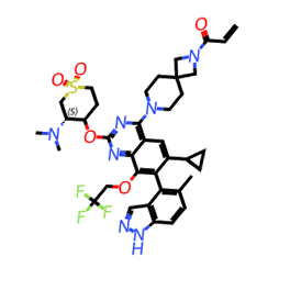 C=CC(=O)N1CC2(CCN(c3nc(OC4CCS(=O)(=O)C[C@H]4N(C)C)nc4c(OCC(F)(F)F)c(-c5c(C)ccc6[nH]ncc56)c(C5CC5)cc34)CC2)C1